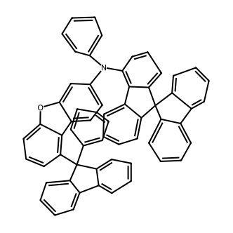 c1ccc(N(c2ccc3c(c2)oc2cccc(C4(c5ccccc5)c5ccccc5-c5ccccc54)c23)c2cccc3c2-c2ccccc2C32c3ccccc3-c3ccccc32)cc1